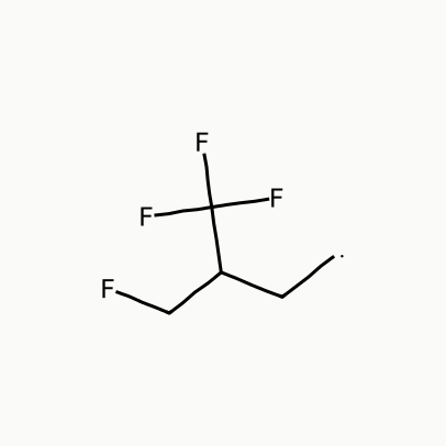 [CH2]CC(CF)C(F)(F)F